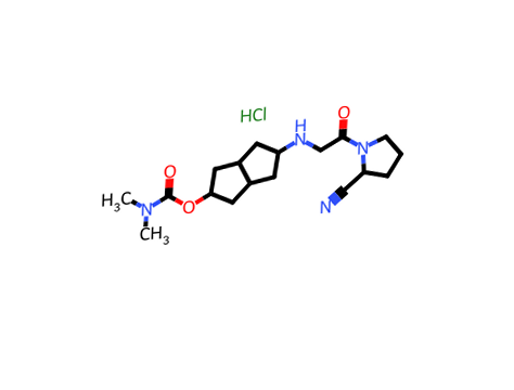 CN(C)C(=O)OC1CC2CC(NCC(=O)N3CCCC3C#N)CC2C1.Cl